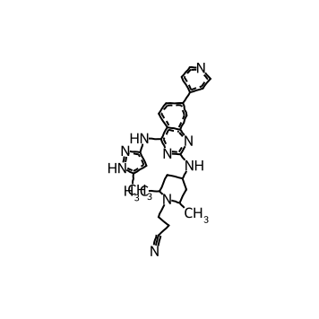 Cc1cc(Nc2nc(NC3CC(C)N(CCC#N)C(C)C3)nc3cc(-c4ccncc4)ccc23)n[nH]1